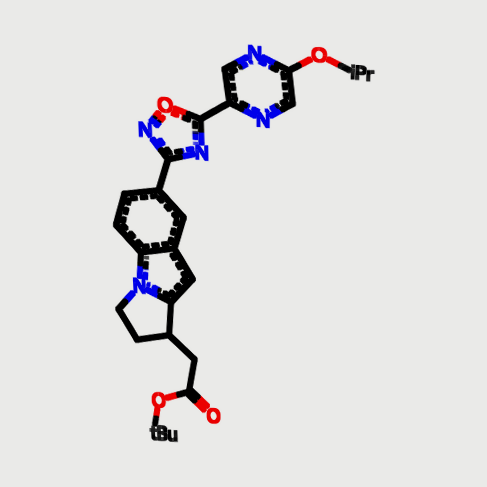 CC(C)Oc1cnc(-c2nc(-c3ccc4c(c3)cc3n4CCC3CC(=O)OC(C)(C)C)no2)cn1